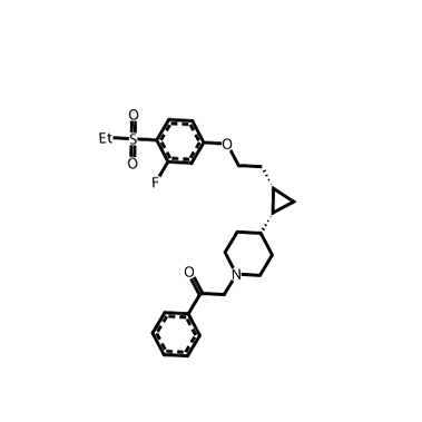 CCS(=O)(=O)c1ccc(OCC[C@@H]2C[C@@H]2C2CCN(CC(=O)c3ccccc3)CC2)cc1F